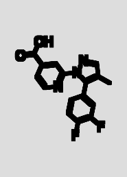 Cc1cnn(-c2cc(C(=O)O)ccn2)c1-c1ccc(F)c(F)c1